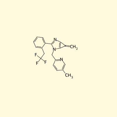 C=C1c2nc(-c3ccccc3CC(F)(F)F)n(Cc3ccc(C)cn3)c21